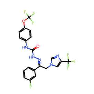 O=C(N/N=C(/Cn1cnc(C(F)(F)F)c1)c1cccc(F)c1)Nc1ccc(OC(F)(F)F)cc1